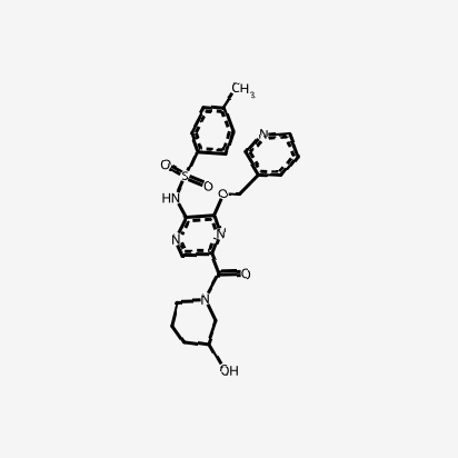 Cc1ccc(S(=O)(=O)Nc2ncc(C(=O)N3CCCC(O)C3)nc2OCc2cccnc2)cc1